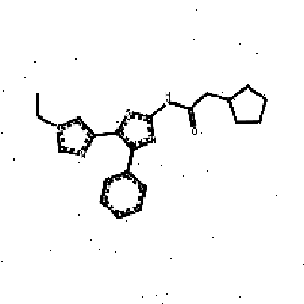 CCn1cnc(-c2sc(NC(=O)CC3CCCC3)nc2-c2ccccc2)c1